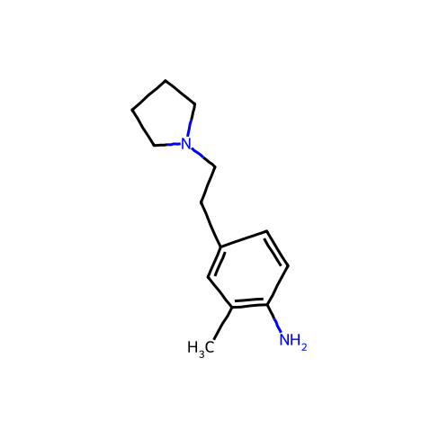 Cc1cc(CCN2CCCC2)ccc1N